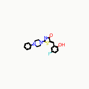 O=C1N=C(N2CCN(c3ccccc3)CC2)S/C1=C\c1cc(F)ccc1O